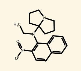 CCN(c1c([N+](=O)[O-])ccc2ccccc12)C12CCCN1CCC2